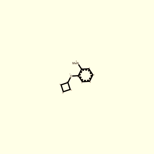 CNc1ccccc1OC1CCC1